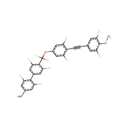 CCCCc1cc(F)c(-c2cc(F)c(C(F)(F)Oc3cc(F)c(C#Cc4cc(F)c(OC(F)(F)F)c(F)c4)c(F)c3)c(F)c2)c(F)c1